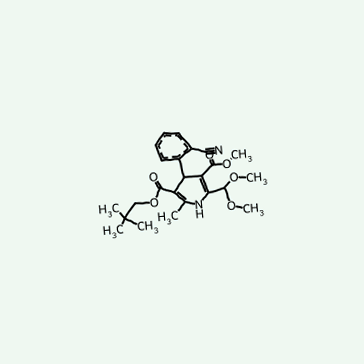 COC(=O)C1=C(C(OC)OC)NC(C)=C(C(=O)OCC(C)(C)C)C1c1ccccc1C#N